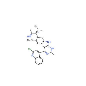 CC/C(C)=C(\C(C)=N)c1cc2[nH]c3c(c2cc1OC)C(c1cc(Cl)nc2ccccc12)=NC(C)N3